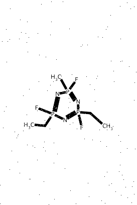 CCP1(F)=NP(C)(F)=NP(F)(CC)=N1